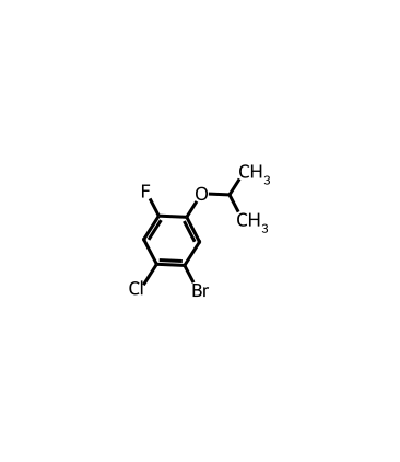 CC(C)Oc1cc(Br)c(Cl)cc1F